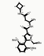 CCC(C)Cn1nc(C(=O)NC(CC(=O)NC2CCC2)C(C)C)cc1-c1c(OC)cccc1OC